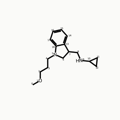 COCCCN1CC(CNC2CC2)c2ccccc21